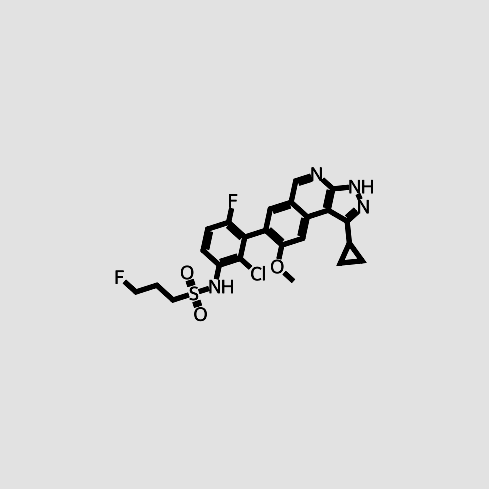 COc1cc2c(cnc3[nH]nc(C4CC4)c32)cc1-c1c(F)ccc(NS(=O)(=O)CCCF)c1Cl